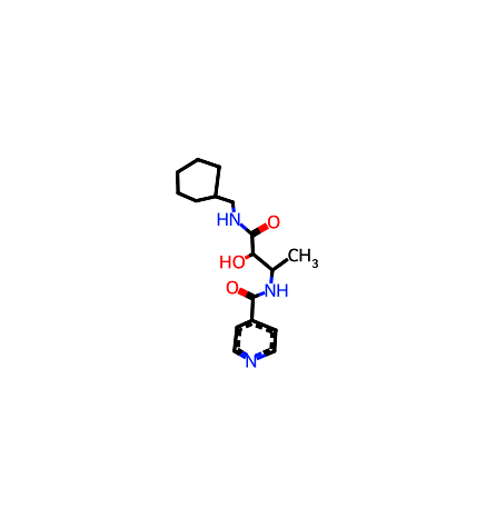 CC(NC(=O)c1ccncc1)C(O)C(=O)NCC1CCCCC1